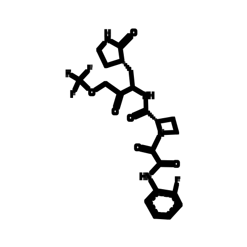 O=C(Nc1ccccc1F)C(=O)N1CC[C@H]1C(=O)NC(C[C@@H]1CCNC1=O)C(=O)COC(F)(F)F